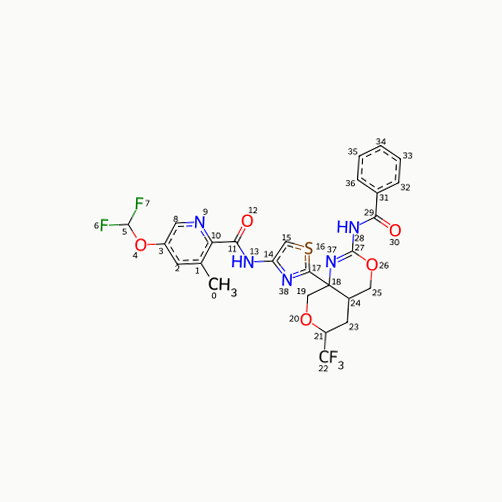 Cc1cc(OC(F)F)cnc1C(=O)Nc1csc(C23COC(C(F)(F)F)CC2COC(NC(=O)c2ccccc2)=N3)n1